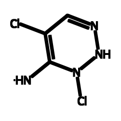 [NH]C1=C(Cl)C=NNN1Cl